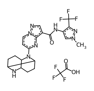 Cn1cc(NC(=O)c2cnn3ccc(N4C5CCC6NC5CCC64)nc23)c(C(F)(F)F)n1.O=C(O)C(F)(F)F